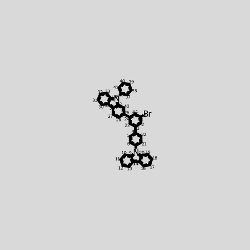 Brc1cc(-c2ccc(-n3c4ccccc4c4ccccc43)cc2)cc(-c2ccc3c4ccccc4n(-c4ccccc4)c3c2)c1